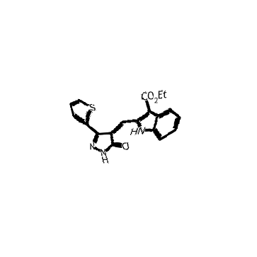 CCOC(=O)c1c(/C=C2\C(=O)NN=C2c2cccs2)[nH]c2ccccc12